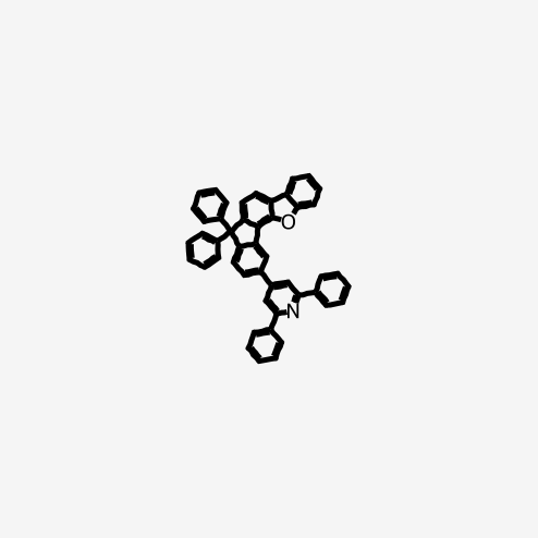 c1ccc(-c2cc(-c3ccc4c(c3)-c3c(ccc5c3oc3ccccc35)C4(c3ccccc3)c3ccccc3)cc(-c3ccccc3)n2)cc1